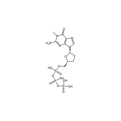 Cn1c(N)nc2c(ncn2[C@H]2CC[C@@H](COP(=O)(O)OP(=O)(O)OP(=O)(O)O)O2)c1=O